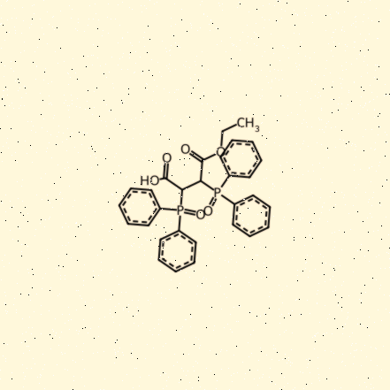 CCOC(=O)C(C(C(=O)O)P(=O)(c1ccccc1)c1ccccc1)P(=O)(c1ccccc1)c1ccccc1